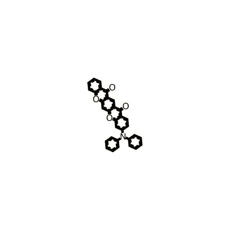 O=c1c2ccccc2oc2cc3oc4cc(N(c5ccccc5)c5ccccc5)ccc4c(=O)c3cc12